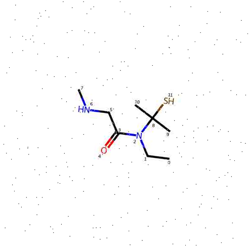 CCN(C(=O)CNC)C(C)(C)S